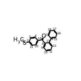 CSc1ccc(C(=O)c2ccccc2-c2ccccc2)cc1